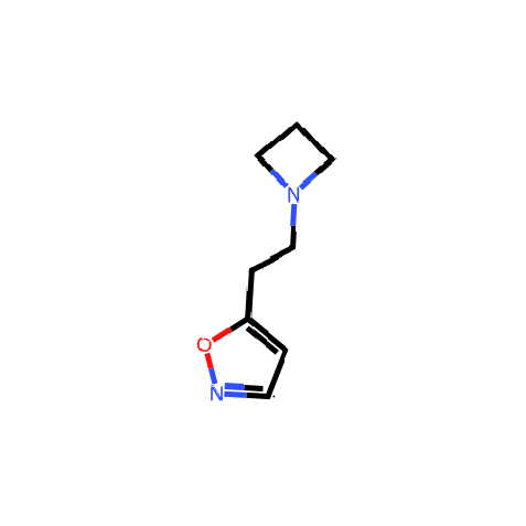 [c]1cc(CCN2CCC2)on1